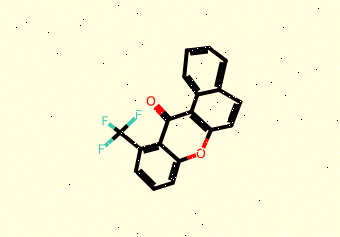 O=c1c2c(C(F)(F)F)cccc2oc2ccc3ccccc3c12